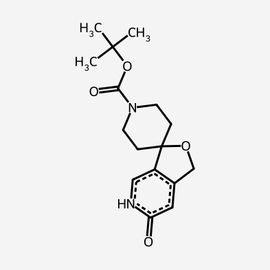 CC(C)(C)OC(=O)N1CCC2(CC1)OCc1cc(=O)[nH]cc12